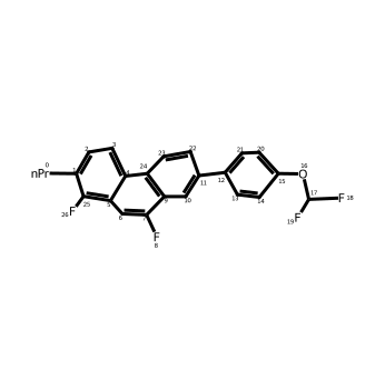 CCCc1ccc2c(cc(F)c3cc(-c4ccc(OC(F)F)cc4)ccc32)c1F